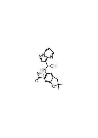 CC1(C)Cc2cc(NC(O)c3cnn4cccnc34)c(C(N)=O)cc2O1